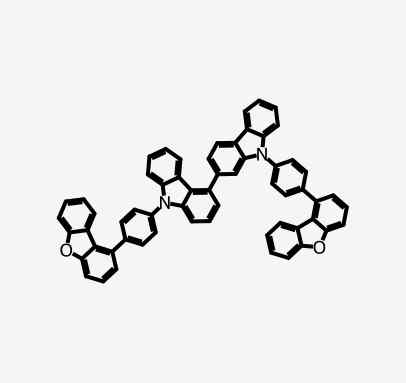 c1ccc2c(c1)oc1cccc(-c3ccc(-n4c5ccccc5c5ccc(-c6cccc7c6c6ccccc6n7-c6ccc(-c7cccc8oc9ccccc9c78)cc6)cc54)cc3)c12